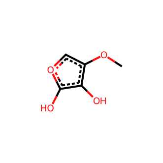 COc1coc(O)c1O